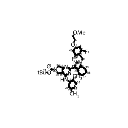 COCCOc1cc(F)c(Cn2nc(-c3nc4c(c(Nc5cc(C)ncc5C)n3)CN(C(=O)OC(C)(C)C)C4)c3ccccc32)c(F)c1